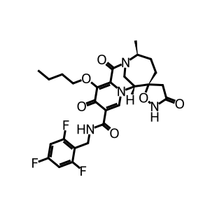 CCCCOc1c2n(cc(C(=O)NCc3c(F)cc(F)cc3F)c1=O)[C@@H]1CN(C2=O)[C@@H](C)CC[C@]12CC(=O)NO2